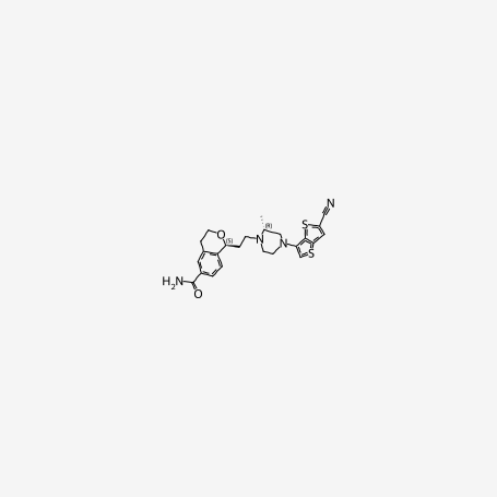 C[C@@H]1CN(c2csc3cc(C#N)sc23)CCN1CC[C@@H]1OCCc2cc(C(N)=O)ccc21